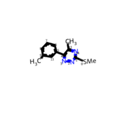 CSc1nnc(-c2cccc(C)c2)c(C)n1